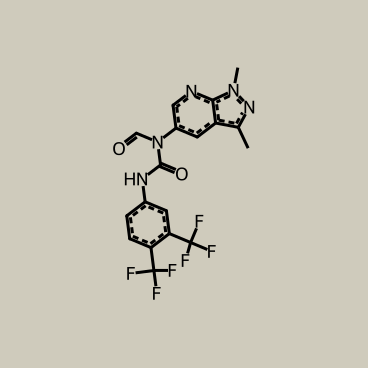 Cc1nn(C)c2ncc(N(C=O)C(=O)Nc3ccc(C(F)(F)F)c(C(F)(F)F)c3)cc12